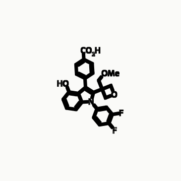 COCC1(c2c(-c3ccc(C(=O)O)cc3)c3c(O)cccc3n2-c2ccc(F)c(F)c2)COC1